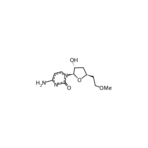 COCC[C@@H]1C[C@@H](O)[C@H](n2ccc(N)nc2=O)O1